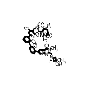 COc1nc(-c2cccc(-c3cccc(-c4cc5c(=O)n(C)c(CNC6CC(C)(O)C6)nn5c4)c3Cl)c2Cl)cc(Cl)c1CN(CC1CCC(=O)N1)C(=O)O